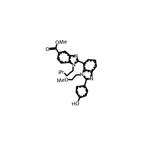 COCCn1c(-c2ccc(O)cc2)nc2cccc(-c3nc4cc(C(=O)OC)ccc4n3CCC(C)C)c21